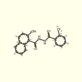 O=C(NNC(=O)c1c(O)ccc2ccccc12)c1ccccc1C(F)(F)F